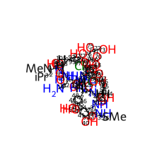 CN[C@H](CC(C)C)C(=O)N[C@H]1C(=O)NC(CC(N)=O)C(=O)N[C@H]2C(=O)N[C@H]3C(=O)N[C@H](C(=O)N[C@H](C(=O)NCSC)c4cc(O)cc(O)c4-c4cc3ccc4O)[C@H](O)c3ccc(c(Cl)c3)Oc3cc2cc(c3O[C@@H]2OC(CO)[C@@H](O)C(O)C2O[C@H]2CC(C)(N)[C@H](O)C(C)O2)Oc2ccc(cc2Cl)[C@H]1O